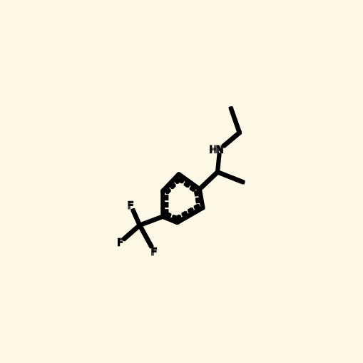 CCNC(C)c1ccc(C(F)(F)F)cc1